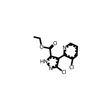 CCOC(=O)c1[nH]nc(Cl)c1-c1ncccc1Cl